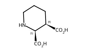 O=C(O)[C@H]1NCCC[C@H]1C(=O)O